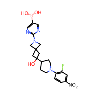 O=[N+]([O-])c1ccc(N2CCC(C3(O)CC4(CN(c5ncc(B(O)O)cn5)C4)C3)CC2)c(F)c1